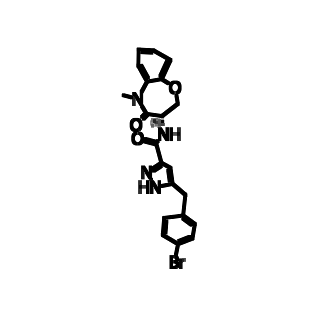 CN1C(=O)[C@@H](NC(=O)c2cc(Cc3ccc(Br)cc3)[nH]n2)COc2ccccc21